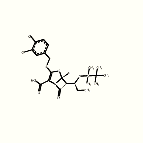 CC[C@H](O[Si](C)(C)C(C)(C)C)[C@@H]1C(=O)N2C(C(=O)O)=C(SCc3ccc(Cl)c(Cl)c3)S[C@H]12